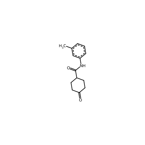 Cc1cccc(NC(=O)C2CCC(=O)CC2)c1